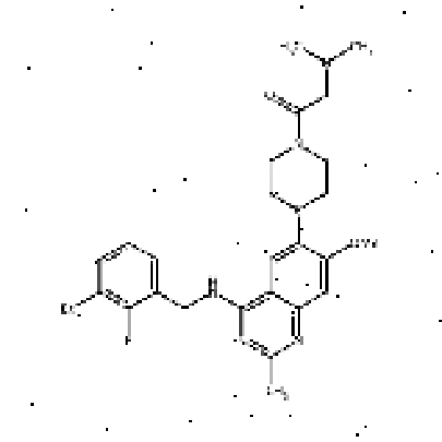 CCc1cccc(CNc2nc(C)nc3cc(OC)c(P4CCN(C(=O)CN(C)C)CC4)cc23)c1F